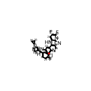 [2H]C(Nc1cc(Cl)c2ncc(C#N)c(Nc3cnc(F)c(F)c3)c2c1)(c1ccc(F)cc1)c1cn(C2CC2)nn1